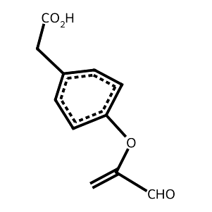 C=C(C=O)Oc1ccc(CC(=O)O)cc1